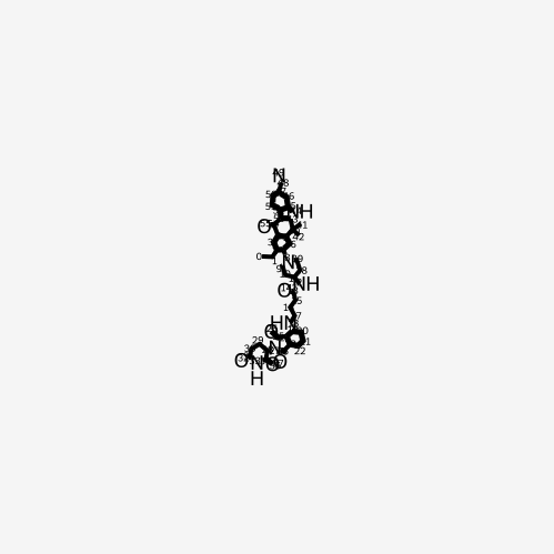 CCc1cc2c(cc1N1CCC(NC(=O)CCCNc3cccc4c3C(=O)N(C3CCC(=O)NC3=O)C4=O)CC1)C(C)(C)c1[nH]c3cc(C#N)ccc3c1C2=O